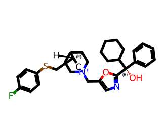 O[C@](c1ccccc1)(c1ncc(C[N+]23CCC(CC2)[C@@H](CSc2ccc(F)cc2)C3)o1)C1CCCCC1